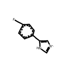 Fc1ccc(C2=C[N+]=CN2)cc1